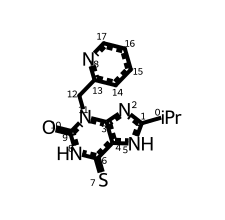 CC(C)c1nc2c([nH]1)c(=S)[nH]c(=O)n2Cc1ccccn1